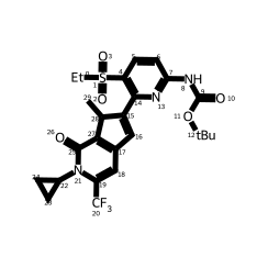 CCS(=O)(=O)c1ccc(NC(=O)OC(C)(C)C)nc1C1=Cc2cc(C(F)(F)F)n(C3CC3)c(=O)c2C1C